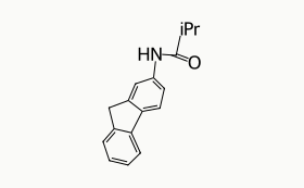 CC(C)C(=O)Nc1ccc2c(c1)Cc1ccccc1-2